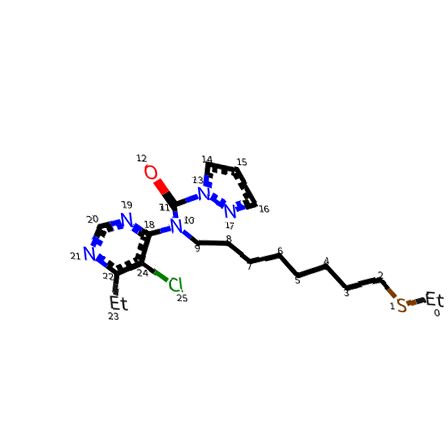 CCSCCCCCCCCN(C(=O)n1cccn1)c1ncnc(CC)c1Cl